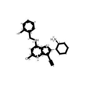 C#Cc1c([C@H]2CCCC[C@@H]2N)sc2c(NCc3ccccc3F)cc(Cl)nc12